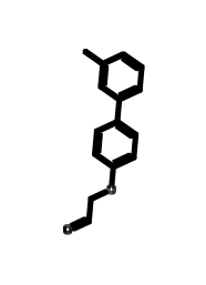 Cc1cccc(-c2ccc(OCC=O)cc2)c1